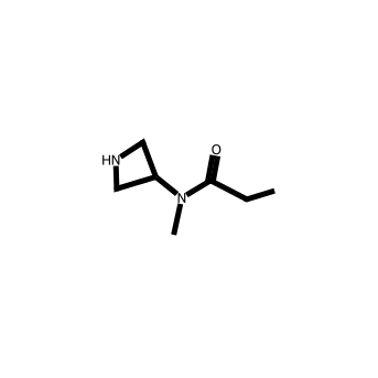 CCC(=O)N(C)C1CNC1